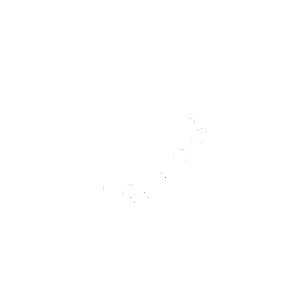 Cc1ccc(N[C@@H]2CCN(S(=O)(=O)c3ccc(-c4ccnc(N5CC6(CCC6)C5)c4)cc3)C[C@@H]2O)nc1